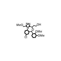 COCc1nnc2n1-c1ccc(Cl)cc1C(c1cccc(OC)c1OC)OC2CCO